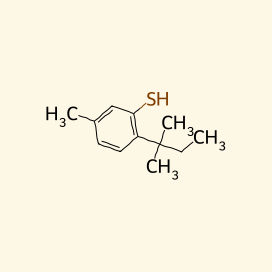 CCC(C)(C)c1ccc(C)cc1S